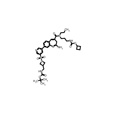 CCCN(CCCNC(=O)OC1CCC1)C(=O)C1=Cc2ccc(-c3cncc(S(=O)(=O)N4CC(CNC(=O)OC(C)(C)C)C4)c3)cc2N=C(N)C1